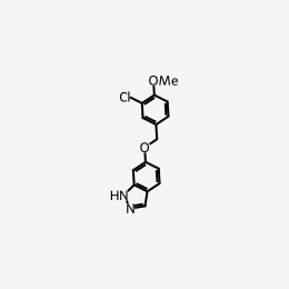 COc1ccc(COc2ccc3cn[nH]c3c2)cc1Cl